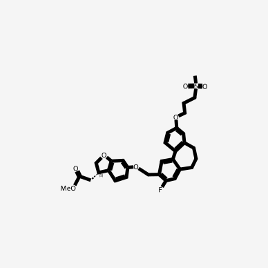 COC(=O)C[C@@H]1COc2cc(OCc3cc4c(cc3F)CCCc3cc(OCCCS(C)(=O)=O)ccc3-4)ccc21